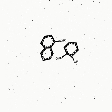 O=Cc1cccc2ccccc12.O=Cc1ccccc1O